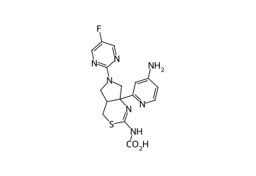 Nc1ccnc(C23CN(c4ncc(F)cn4)CC2CSC(NC(=O)O)=N3)c1